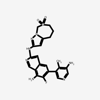 Cc1c(N)cncc1-c1cc2cc(Nc3cc4n(n3)CS(=O)(=O)CCC4)ncc2c(N)c1F